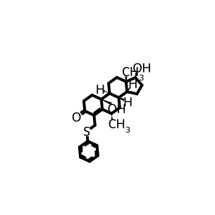 C[C@H]1C[C@@H]2[C@H](CC[C@]3(C)[C@@H](O)CC[C@@H]23)[C@@]2(CO)CCC(=O)C(CSc3ccccc3)=C12